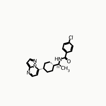 C[C@H](NC(=O)c1ccc(Cl)cc1)[C@H]1CC[C@@H](c2ccnc3ccnn32)CC1